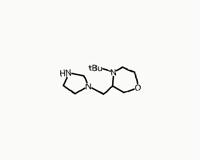 CC(C)(C)N1CCOCC1CN1CCNC1